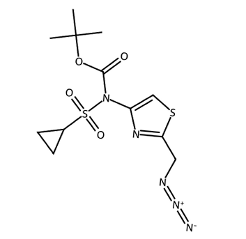 CC(C)(C)OC(=O)N(c1csc(CN=[N+]=[N-])n1)S(=O)(=O)C1CC1